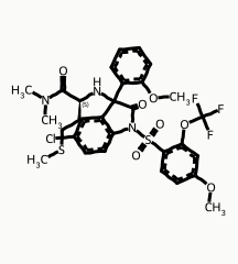 COc1ccc(S(=O)(=O)N2C(=O)C(N[C@@H](CCSC)C(=O)N(C)C)(c3ccccc3OC)c3cc(Cl)ccc32)c(OC(F)(F)F)c1